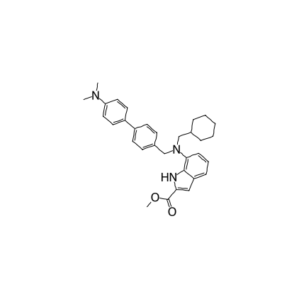 COC(=O)c1cc2cccc(N(Cc3ccc(-c4ccc(N(C)C)cc4)cc3)CC3CCCCC3)c2[nH]1